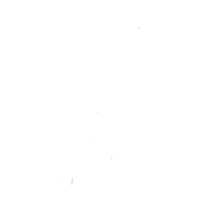 C=CC(=O)OCC1CCOC1